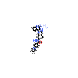 CCCCc1nc2c(N)nc3ccccc3c2n1CCCCNC(=O)c1ccc(N2CCCC2)cc1